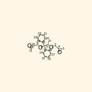 CC(OCC1CO1)C(OCC1CO1)(c1ccccc1)c1ccccc1